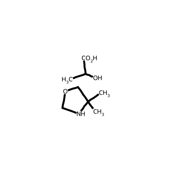 CC(O)C(=O)O.CC1(C)COCN1